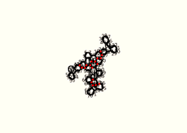 c1ccc(-c2cccc(-c3ccccc3)c2N(c2cccc(-c3ccc4c(c3)c3ccccc3n4-c3ccccc3)c2)c2cc(-c3ccc4oc5ccccc5c4c3)cc(N(c3cccc(-n4c5ccccc5c5ccccc54)c3)c3c(-c4ccccc4)cccc3-c3ccccc3)c2)cc1